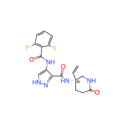 C=C[C@]1(NC(=O)c2n[nH]cc2NC(=O)c2c(F)cccc2F)CCC(=O)NC1